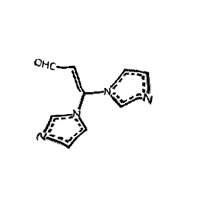 O=CC=C(n1ccnc1)n1ccnc1